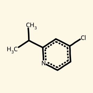 CC(C)c1cc(Cl)ccn1